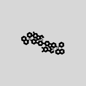 Cc1cc2c(cc1C)[C@@]1(c3cc(-c4ccc5c(c4)[C@]4(c6cc(N(c7ccccc7)c7cccc8ccccc78)ccc6-5)c5cc(C)c(C)cc5-c5ccsc54)ccc3-c3ccc(N(c4ccccc4)c4cccc5ccccc45)cc31)c1sccc1-2